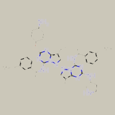 COc1cccc([C@H](C)Nc2nc(NC3CCNC3)nc3c(C(C)C)cnn23)c1.COc1cccc([C@H](C)Nc2nc(OC3CCC(N)CC3)nc3c(C(C)C)cnn23)c1